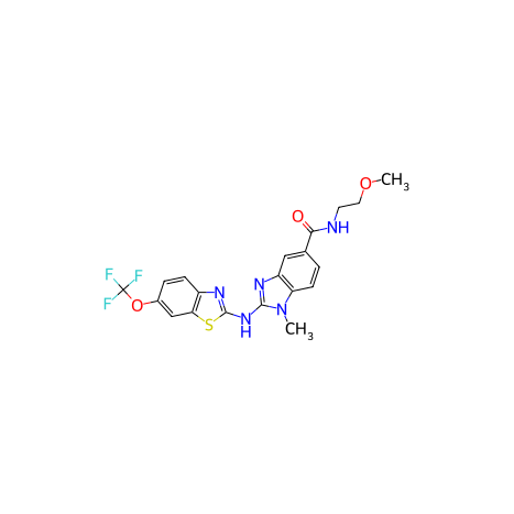 COCCNC(=O)c1ccc2c(c1)nc(Nc1nc3ccc(OC(F)(F)F)cc3s1)n2C